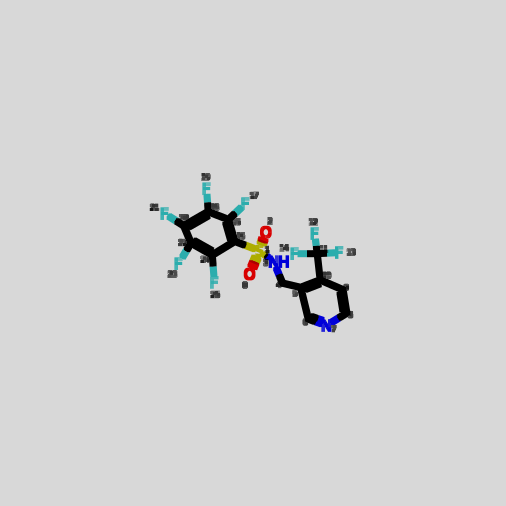 O=S(=O)(NCc1cnccc1C(F)(F)F)c1c(F)c(F)c(F)c(F)c1F